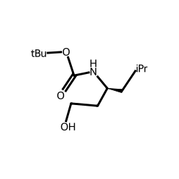 CC(C)C[C@@H](CCO)NC(=O)OC(C)(C)C